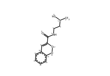 O=C(NCCN(S)C(F)(F)F)C1=Cc2ccccc2OO1